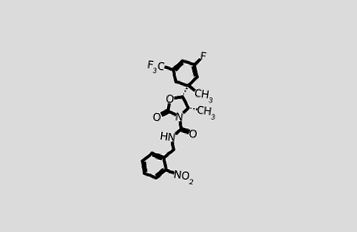 C[C@H]1[C@@H](C2(C)C=C(F)C=C(C(F)(F)F)C2)OC(=O)N1C(=O)NCc1ccccc1[N+](=O)[O-]